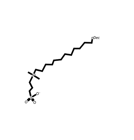 CCCCCCCCCCCCCCCCCCCCCC[N+](C)(C)CCCS(=O)(=O)[O-]